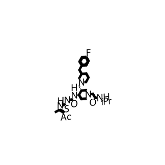 CC(=O)c1sc(NC(=O)N[C@@H]2CCN(CC(=O)NC(C)C)C[C@H]2CN2CCCC(Cc3ccc(F)cc3)C2)nc1C